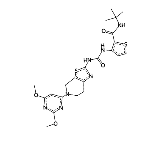 COc1cc(N2CCc3nc(NC(=O)Nc4ccsc4C(=O)NC(C)(C)C)sc3C2)nc(OC)n1